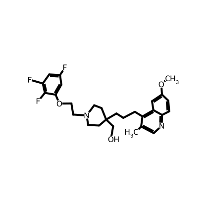 COc1ccc2ncc(C)c(CCCC3(CO)CCN(CCOc4cc(F)cc(F)c4F)CC3)c2c1